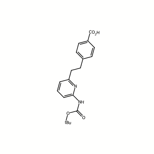 CC(C)(C)OC(=O)Nc1cccc(CCc2ccc(C(=O)O)cc2)n1